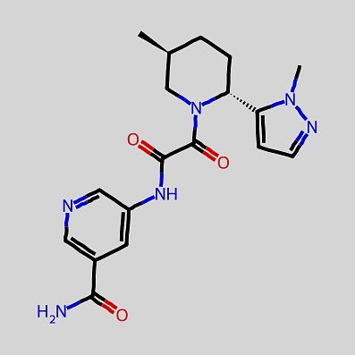 C[C@H]1CC[C@H](c2ccnn2C)N(C(=O)C(=O)Nc2cncc(C(N)=O)c2)C1